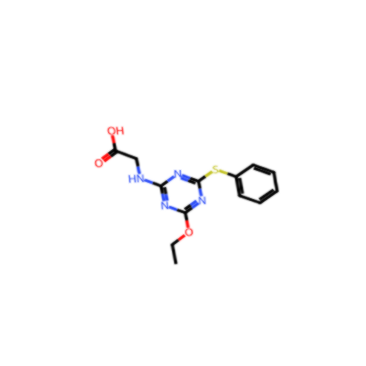 CCOc1nc(NCC(=O)O)nc(Sc2ccccc2)n1